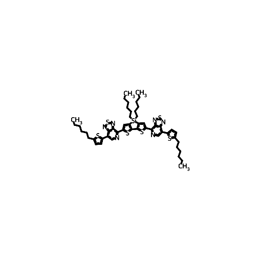 CCCCCCc1ccc(-c2cnc(-c3cc4c(s3)-c3sc(-c5ncc(-c6ccc(CCCCCC)s6)c6nsnc56)cc3[Si]4(CCCCCC)CCCCCC)c3nsnc23)s1